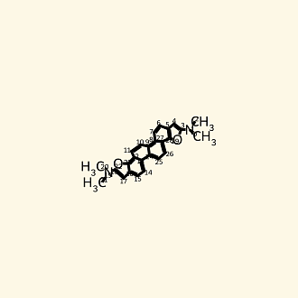 CN(C)c1cc2ccc3c4ccc5c(ccc6cc(N(C)C)oc65)c4ccc3c2o1